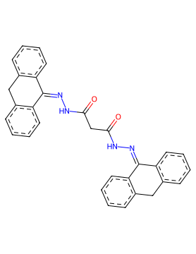 O=C(CC(=O)NN=C1c2ccccc2Cc2ccccc21)NN=C1c2ccccc2Cc2ccccc21